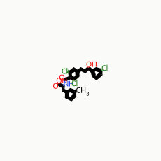 Cc1cccc(C[C@H](NC(=O)c2c(Cl)cc(CCC(O)c3cccc(Cl)c3)cc2Cl)C(=O)O)c1